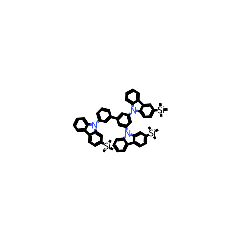 C[Si](C)(C)c1ccc2c(c1)c1ccccc1n2-c1cc(-c2cccc(-n3c4ccccc4c4ccc([Si](C)(C)C)cc43)c2)cc(-n2c3ccccc3c3ccc([Si](C)(C)C)cc32)c1